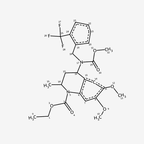 CCOC(=O)N1c2cc(OC)c(OC)cc2C(N(Cc2ccccc2C(F)(F)F)C(=O)OC)CC1C